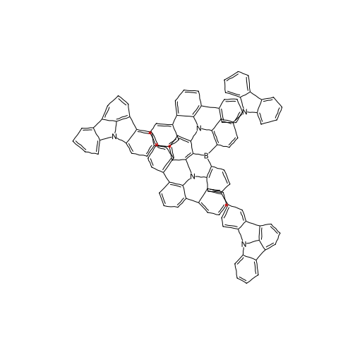 c1ccc(-c2cccc(-c3ccccc3)c2N2c3cc(-c4ccc5c(c4)c4cccc6c7ccccc7n5c64)ccc3B3c4ccc(-n5c6ccccc6c6ccccc65)cc4N(c4c(-c5ccccc5)cccc4-c4ccccc4)c4cc(-c5ccc6c(c5)c5cccc7c8ccccc8n6c75)cc2c43)cc1